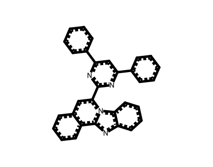 c1ccc(-c2cc(-c3ccccc3)nc(-c3cc4ccccc4c4nc5ccccc5n34)n2)cc1